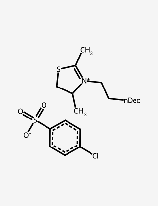 CCCCCCCCCCCC[N+]1=C(C)SCC1C.O=S(=O)([O-])c1ccc(Cl)cc1